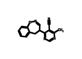 Cc1ncnc(C2C=NOc3ccccc3C2)c1C#N